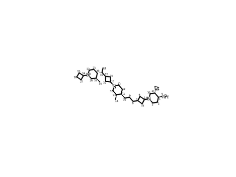 CCC[C@H]1CCN(C2CC(CCC[C@@H]3CCN(C4CC(C(C)[C@H]5CCN(C6CCC6)C[C@@H]5C)C4)C[C@@H]3C)C2)C[C@@H]1CC